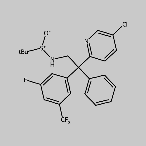 CC(C)(C)[S+]([O-])NCC(c1ccccc1)(c1cc(F)cc(C(F)(F)F)c1)c1ccc(Cl)cn1